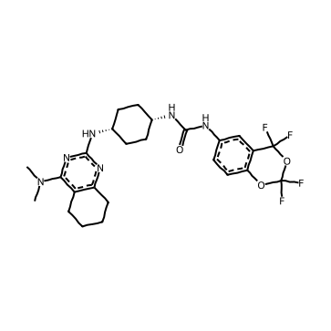 CN(C)c1nc(N[C@H]2CC[C@@H](NC(=O)Nc3ccc4c(c3)C(F)(F)OC(F)(F)O4)CC2)nc2c1CCCC2